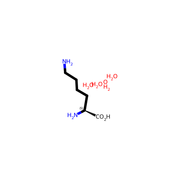 NCCCC[C@H](N)C(=O)O.O.O.O.O